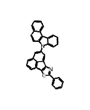 c1ccc(-c2nc3c(o2)-c2cccc4cc(-n5c6ccccc6c6c7ccccc7ccc65)cc-3c24)cc1